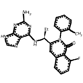 CC[C@H](Nc1nc(N)nc2[nH]cnc12)c1cc2cccc(F)c2c(=O)n1-c1ccccc1C